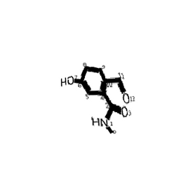 CNC(=O)c1cc(O)ccc1C=O